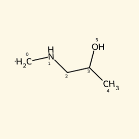 [CH2]NCC(C)O